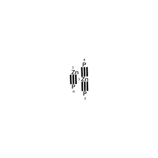 [P]#[Zn].[P]#[Zn]#[P]